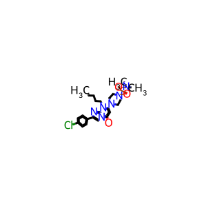 CCCCCn1c(N2CCN(S(=O)(=O)N(C)C)CC2)cc(=O)n2cc(-c3ccc(Cl)cc3)nc12